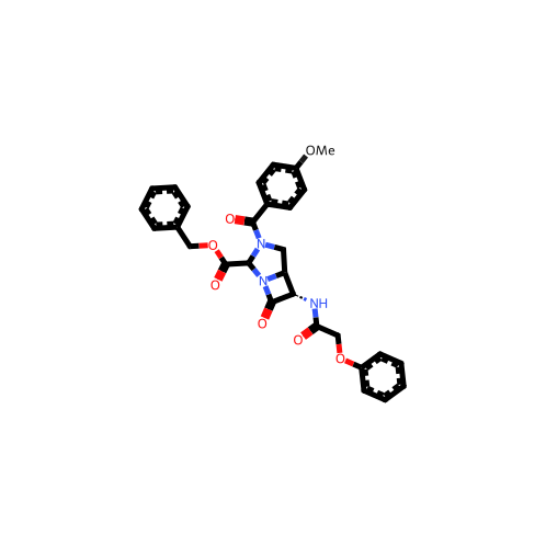 COc1ccc(C(=O)N2CC3[C@H](NC(=O)COc4ccccc4)C(=O)N3C2C(=O)OCc2ccccc2)cc1